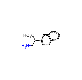 NCC(C(=O)O)c1ccc2ccccc2c1